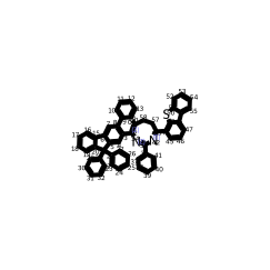 C/C1=C(c2cc3c(cc2-c2ccccc2)-c2ccccc2C3(c2ccccc2)c2ccccc2)/N=C(c2ccccc2)\N=C(\c2cccc3c2sc2ccccc23)CC1